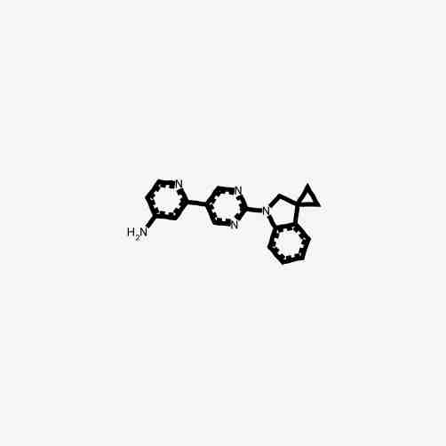 Nc1ccnc(-c2cnc(N3CC4(CC4)c4cc[c]cc43)nc2)c1